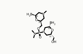 B[C@H]1CN(C)C[C@@H](COP(=O)(N(C)C)N2C[C@@H](CO)O[C@@H](B)C2)O1